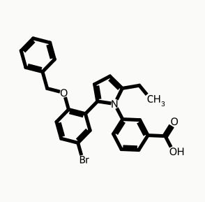 CCc1ccc(-c2cc(Br)ccc2OCc2ccccc2)n1-c1cccc(C(=O)O)c1